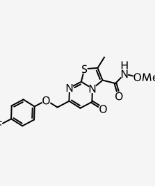 CONC(=O)c1c(C)sc2nc(COc3ccc(F)cc3)cc(=O)n12